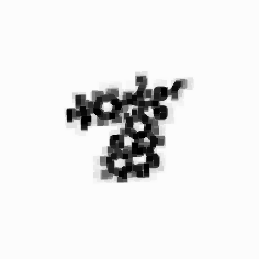 CCOC(=O)C1(c2ccc3c(c2)CC(=O)N3c2c(Cl)cccc2Cl)C(C)C1c1ccc(C(F)(F)F)cc1